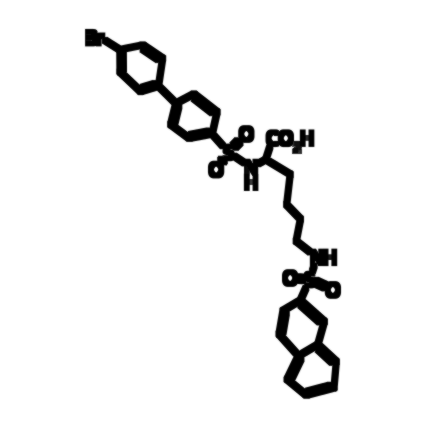 O=C(O)C(CCCCNS(=O)(=O)c1ccc2ccccc2c1)NS(=O)(=O)c1ccc(-c2ccc(Br)cc2)cc1